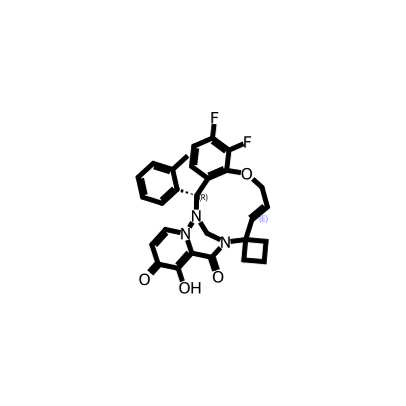 Cc1ccccc1[C@@H]1c2ccc(F)c(F)c2OC/C=C/C2(CCC2)N2CN1n1ccc(=O)c(O)c1C2=O